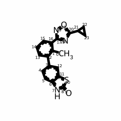 Cc1c(-c2ccc3[nH]c(=O)sc3c2)cccc1-c1noc(C2CC2)n1